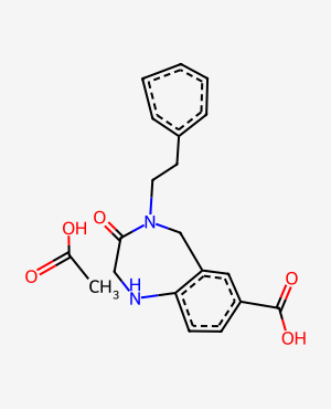 CC(=O)O.O=C(O)c1ccc2c(c1)CN(CCc1ccccc1)C(=O)CN2